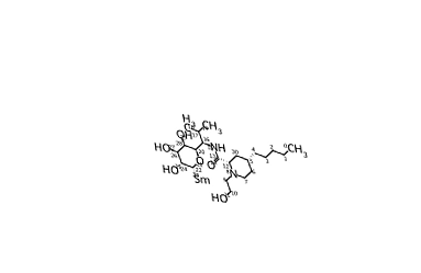 CCCCC[C@@H]1CCN(CCO)[C@H](C(=O)N[C@H](C(C)C)[C@H]2O[C@H]([Sm])[C@H](O)[C@@H](O)[C@H]2O)C1